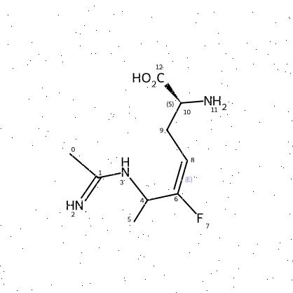 CC(=N)NC(C)/C(F)=C\C[C@H](N)C(=O)O